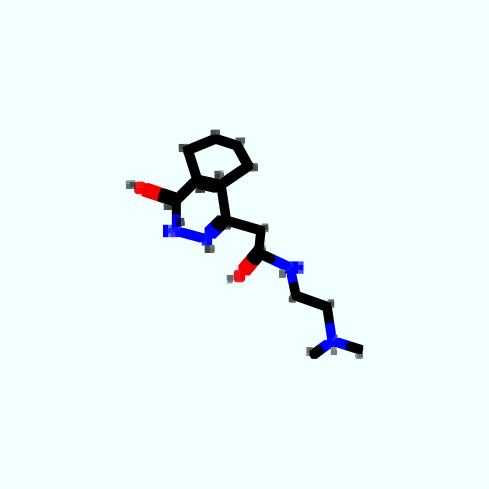 CN(C)CCNC(=O)Cc1n[nH]c(=O)c2c1CCCC2